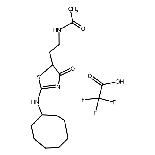 CC(=O)NCCC1SC(NC2CCCCCCC2)=NC1=O.O=C(O)C(F)(F)F